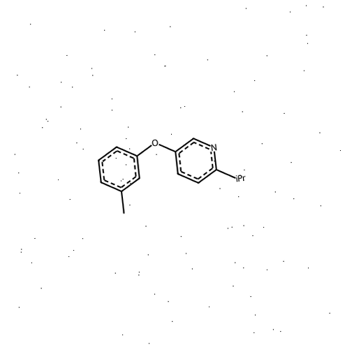 Cc1cccc(Oc2ccc(C(C)C)nc2)c1